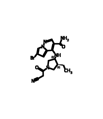 CC[C@@H]1CN(C(=O)CC#N)C[C@H]1Nc1c(C(N)=O)cnn2cc(Br)cc12